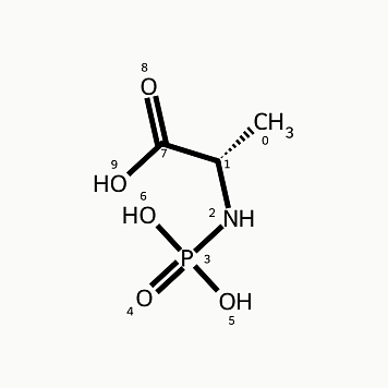 C[C@H](NP(=O)(O)O)C(=O)O